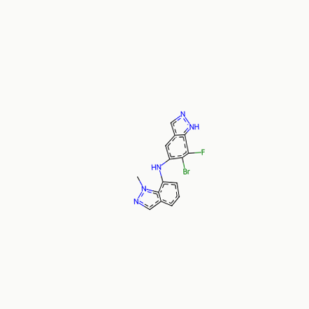 Cn1ncc2cccc(Nc3cc4cn[nH]c4c(F)c3Br)c21